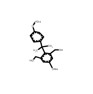 CCCCCCCCOc1ccc(C(C)(C)c2c(CO)cc(OC)cc2CO)cc1